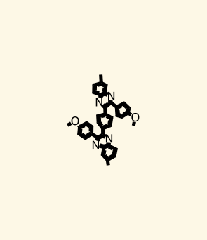 COc1ccc(-c2nc3cc(C)ccc3nc2-c2ccc(-c3nc4ccc(C)cc4nc3-c3ccc(OC)cc3)cc2)cc1